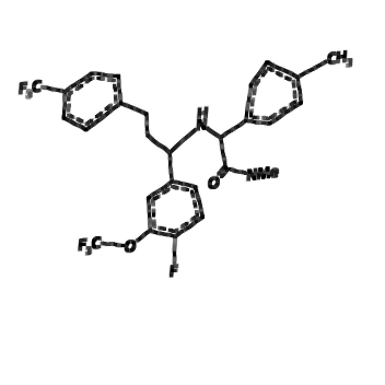 CNC(=O)C(NC(CCc1ccc(C(F)(F)F)cc1)c1ccc(F)c(OC(F)(F)F)c1)c1ccc(C)cc1